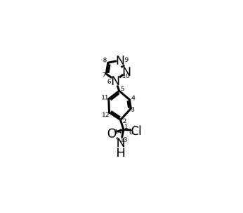 ClC1(c2ccc(-n3ccnn3)cc2)NO1